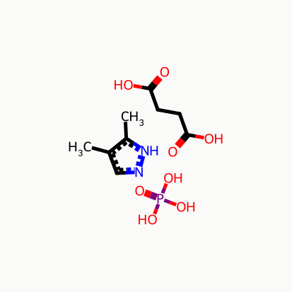 Cc1cn[nH]c1C.O=C(O)CCC(=O)O.O=P(O)(O)O